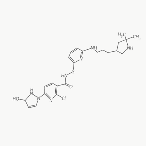 CC1(C)CC(CCCNc2cccc(SNC(=O)c3ccc(N4C=CC(O)N4)nc3Cl)n2)CN1